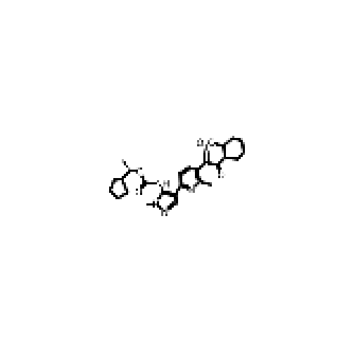 Cc1nc(-c2cnn(C)c2NC(=O)O[C@H](C)C2CCCC2)ccc1NC(=O)C1CCCCC1C(=O)O